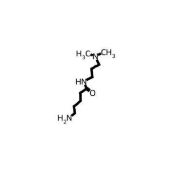 CN(C)CCCNC(=O)CCCCN